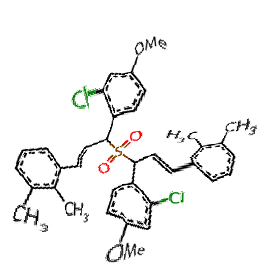 COc1ccc(C(C=Cc2cccc(C)c2C)S(=O)(=O)C(C=Cc2cccc(C)c2C)c2ccc(OC)cc2Cl)c(Cl)c1